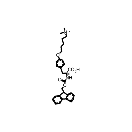 C[N+](C)(C)CCCCCOc1ccc(C[C@H](NC(=O)OCC2c3ccccc3-c3ccccc32)C(=O)O)cc1